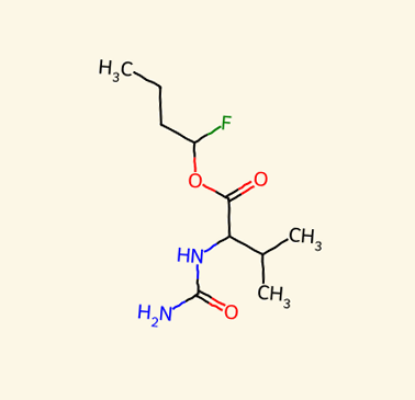 CCCC(F)OC(=O)C(NC(N)=O)C(C)C